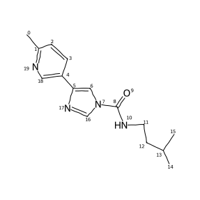 Cc1ccc(-c2cn(C(=O)NCCC(C)C)cn2)cn1